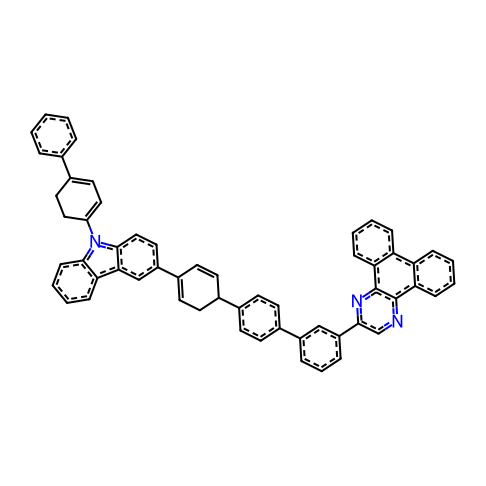 C1=CC(c2ccc(-c3cccc(-c4cnc5c6ccccc6c6ccccc6c5n4)c3)cc2)CC=C1c1ccc2c(c1)c1ccccc1n2C1=CC=C(c2ccccc2)CC1